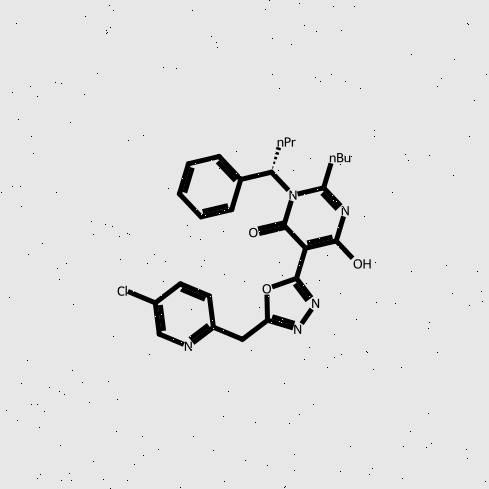 CCCCc1nc(O)c(-c2nnc(Cc3ccc(Cl)cn3)o2)c(=O)n1[C@@H](CCC)c1ccccc1